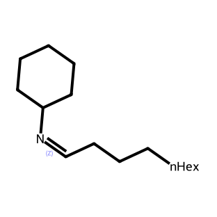 CCCCCCCCC/C=N\C1CCCCC1